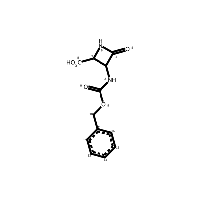 O=C(NC1C(=O)NC1C(=O)O)OCc1ccccc1